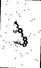 O=C(O)CC1CCc2cc3ccc(OCc4ccc(OCC5CC5)c(C(F)(F)F)c4)cc3n21